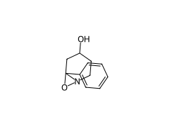 OC1CCN2OC2(c2ccccc2)C1